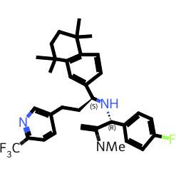 C=C(NC)[C@H](N[C@@H](CCc1ccc(C(F)(F)F)nc1)c1ccc2c(c1)C(C)(C)CCC2(C)C)c1ccc(F)cc1